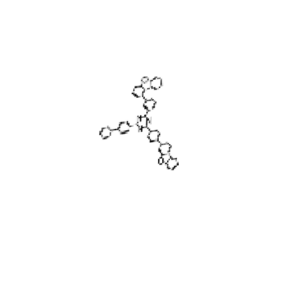 c1ccc(-c2ccc(-c3nc(-c4ccc(-c5ccc6c(c5)oc5ccccc56)cc4)nc(-c4cccc(-c5cccc6oc7ccccc7c56)c4)n3)cc2)cc1